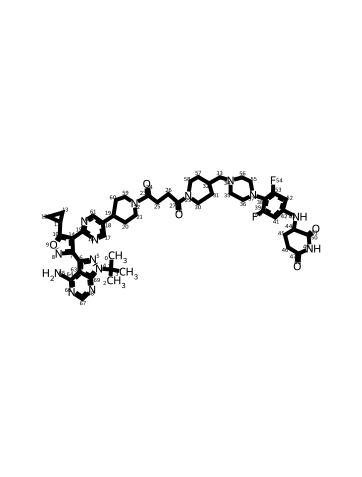 CC(C)(C)n1nc(-c2noc(C3CC3)c2-c2ncc(C3CCN(C(=O)CCC(=O)N4CCC(CN5CCN(c6c(F)cc(NC7CCC(=O)NC7=O)cc6F)CC5)CC4)CC3)cn2)c2c(N)ncnc21